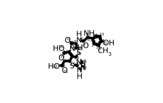 Cc1cc(C(N)C(=O)NC2C(=O)N3C(C(=O)O)=C(C(CC(=O)O)Sc4nnn[nH]4)CS[C@@H]23)ccc1O